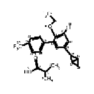 CC(C)C(=O)O.FC(F)(F)COc1c(Cl)cc(C2C3CC32)cc1-c1ccc(C(F)(F)F)cc1